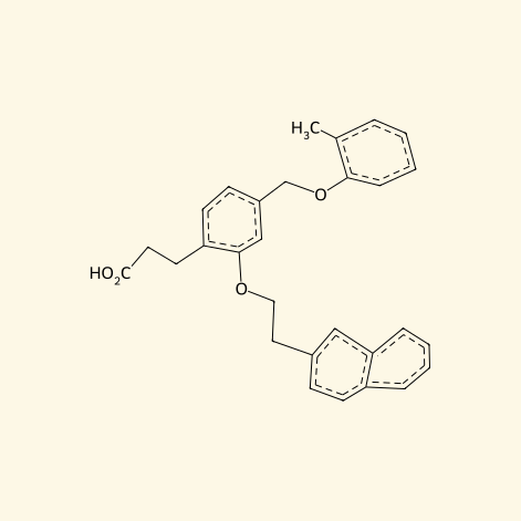 Cc1ccccc1OCc1ccc(CCC(=O)O)c(OCCc2ccc3ccccc3c2)c1